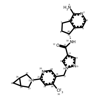 Nc1nccc2c1CC[C@H]2NC(=O)c1cnn(Cc2cnc(N3CC4CC4C3)cc2C(F)(F)F)c1